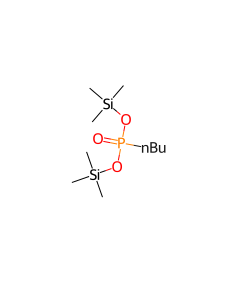 CCCCP(=O)(O[Si](C)(C)C)O[Si](C)(C)C